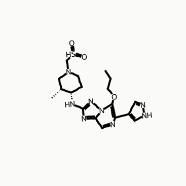 CCCOc1c(-c2cn[nH]c2)ncc2nc(N[C@H]3CCN(C[SH](=O)=O)C[C@H]3C)nn12